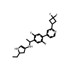 CCC1CC(NC(C)c2cc(F)c(-c3ccnc(C4CC(F)(F)C4)c3)cc2F)=CN1